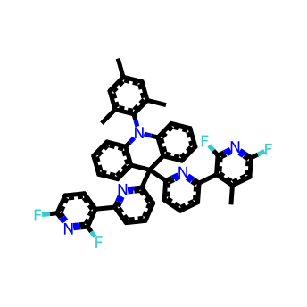 Cc1cc(C)c(N2c3ccccc3C(c3cccc(-c4ccc(F)nc4F)n3)(c3cccc(-c4c(C)cc(F)nc4F)n3)c3ccccc32)c(C)c1